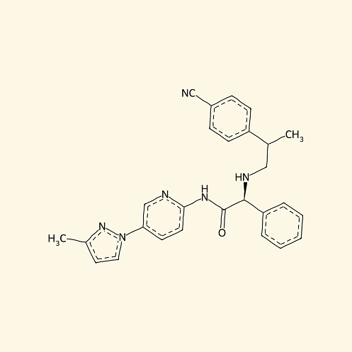 Cc1ccn(-c2ccc(NC(=O)[C@@H](NCC(C)c3ccc(C#N)cc3)c3ccccc3)nc2)n1